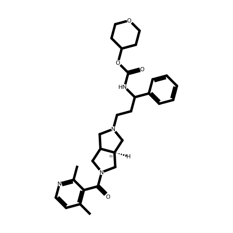 Cc1ccnc(C)c1C(=O)N1CC2CN(CCC(NC(=O)OC3CCOCC3)c3ccccc3)C[C@H]2C1